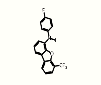 Fc1ccc(N(I)c2cccc3c2oc2c(C(F)(F)F)cccc23)cc1